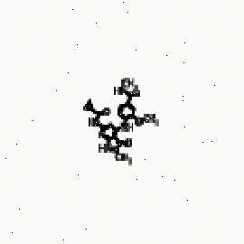 CNC(=O)c1ccc(Nc2cc(NC(=O)C3CC3)nc3[nH]n(C)c(=O)c23)c(OC)c1